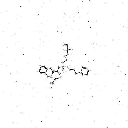 CC(C)(C=O)COCOP(=O)(CCCCc1ccccc1)CC(=O)N1Cc2ccccc2C[C@H]1C(=O)O